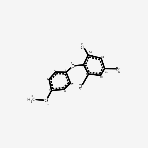 COc1[c]cc(Oc2c(Cl)cc(Br)cc2Cl)cc1